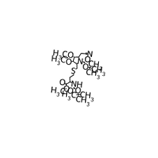 COC(=O)C(CCSCC1C2OC(C)(C)OC2C(CC#N)N1C(=O)OC(C)(C)C)NC(=O)OC(C)(C)C